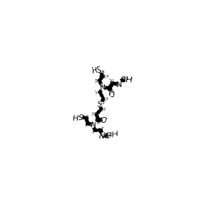 B=NCCN(CCS)C(=O)CCSCCN(CCS)C(=O)CN=B